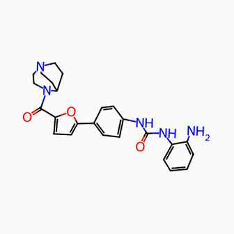 Nc1ccccc1NC(=O)Nc1ccc(-c2ccc(C(=O)N3CCN4CCC3CC4)o2)cc1